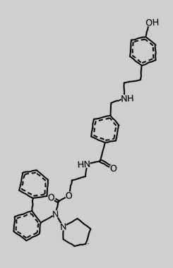 O=C(NCCOC(=O)N(c1ccccc1-c1ccccc1)N1CC[CH]CC1)c1ccc(CNCCc2ccc(O)cc2)cc1